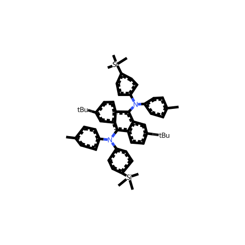 Cc1ccc(N(c2ccc([Si](C)(C)C)cc2)c2c3ccc(C(C)(C)C)cc3c(N(c3ccc(C)cc3)c3ccc([Si](C)(C)C)cc3)c3ccc(C(C)(C)C)cc23)cc1